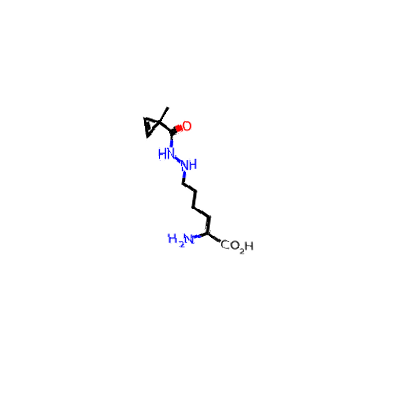 CC1(C(=O)NNCCCCC(N)C(=O)O)C=C1